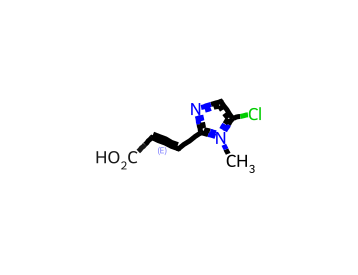 Cn1c(Cl)cnc1/C=C/C(=O)O